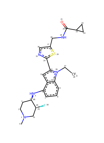 CN1CC[C@@H](Nc2cccc3c2cc(-c2ncc(CNC(=O)C4CC4)s2)n3CC(F)(F)F)[C@@H](F)C1